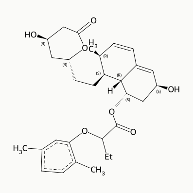 CCC(Oc1cc(C)ccc1C)C(=O)O[C@H]1C[C@H](O)C=C2C=C[C@H](C)[C@H](CC[C@@H]3C[C@@H](O)CC(=O)O3)[C@H]21